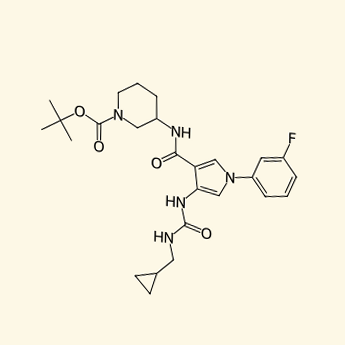 CC(C)(C)OC(=O)N1CCCC(NC(=O)c2cn(-c3cccc(F)c3)cc2NC(=O)NCC2CC2)C1